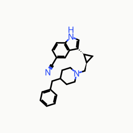 N#Cc1ccc2[nH]cc([C@@H]3C[C@H]3CN3CCC(Cc4ccccc4)CC3)c2c1